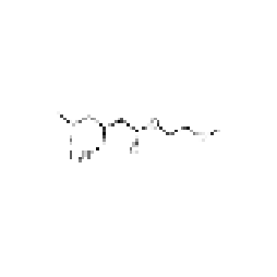 COCCOC(=O)C[C@@H](CN)CC(C)C